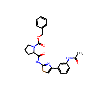 CC(=O)Nc1cccc(-c2csc(NC(=O)C3CCCN3C(=O)OCc3ccccc3)n2)c1